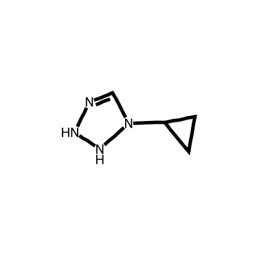 C1=NNNN1C1CC1